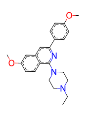 CCN1CCN(c2nc(-c3ccc(OC)cc3)cc3cc(OC)ccc23)CC1